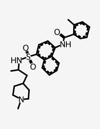 Cc1ccccc1C(=O)Nc1ccc(S(=O)(=O)NC(C)CC2CCN(C)CC2)c2ccccc12